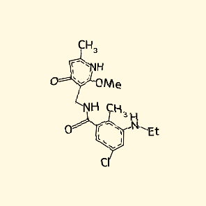 CCNc1cc(Cl)cc(C(=O)NCc2c(OC)[nH]c(C)cc2=O)c1C